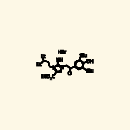 Br.CCOC(=O)c1cn(CC(=O)c2cc(C(C)(C)C)c(O)c(C(C)(C)C)c2)c(=N)n1CCC(CC)CC